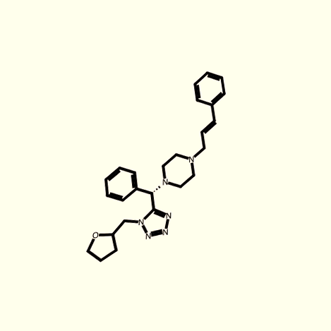 C(=C\c1ccccc1)/CN1CCN([C@@H](c2ccccc2)c2nnnn2CC2CCCO2)CC1